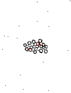 c1ccc(-c2ccccc2N2c3cc([Si](c4ccccc4)(c4ccccc4)c4ccccc4)ccc3B3c4c(-c5ccccc5)cccc4N(c4cccc([Si](c5ccccc5)(c5ccccc5)c5ccccc5)c4)c4cc(-n5c6ccccc6c6ccccc65)cc2c43)cc1